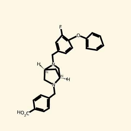 O=C(O)c1ccc(CN2C[C@@H]3C[C@H]2CN3Cc2ccc(Oc3ccccc3)c(F)c2)cc1